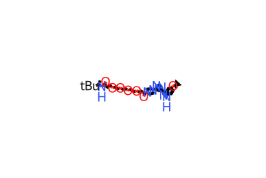 CC(NC(=O)CCOCCOCCOCCOCCC(=O)N1CCN(c2cc(-c3n[nH]c4ccc(OC5(C)CC5)cc34)ncn2)CC1)C(C)(C)C